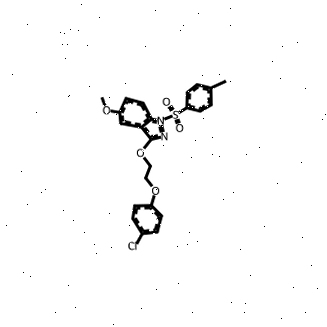 COc1ccc2c(c1)c(OCCOc1ccc(Cl)cc1)nn2S(=O)(=O)c1ccc(C)cc1